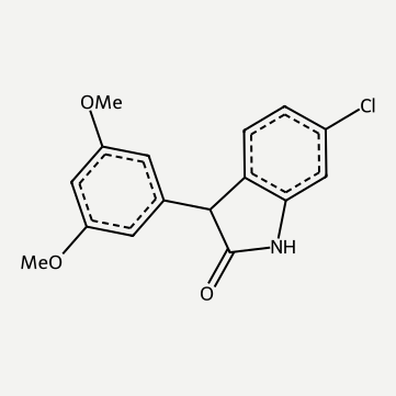 COc1cc(OC)cc(C2C(=O)Nc3cc(Cl)ccc32)c1